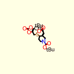 Cc1oc(=O)oc1CSC1CCN(C(=O)OC(C)(C)C)C/C1=C/C(=O)OC(C)(C)C